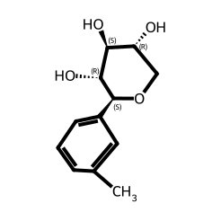 Cc1cccc([C@@H]2OC[C@@H](O)[C@H](O)[C@H]2O)c1